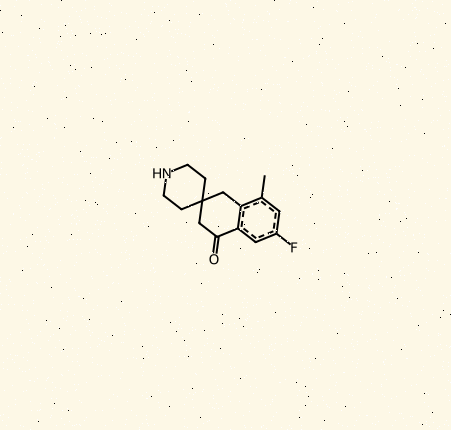 Cc1cc(F)cc2c1CC1(CCNCC1)CC2=O